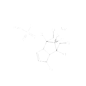 CCCCCCCCCCS(=O)(=O)[O-].ClC1=C(Cl)C2(Cl)C3C(Cl)C=CC3C1(Cl)C2(Cl)Cl.[Na+]